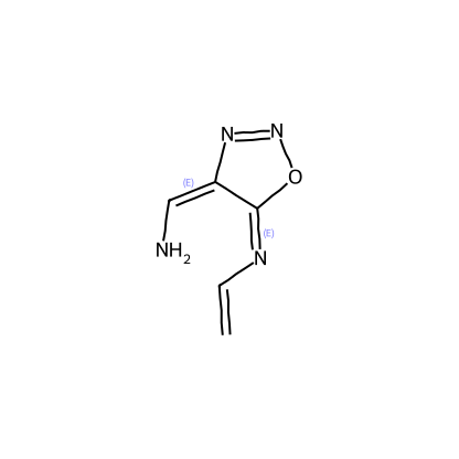 C=C/N=C1/ON=N/C1=C/N